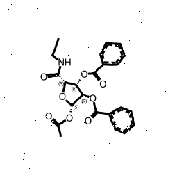 CCNC(=O)[C@H]1O[C@@H](OC(C)=O)[C@H](OC(=O)c2ccccc2)[C@H]1OC(=O)c1ccccc1